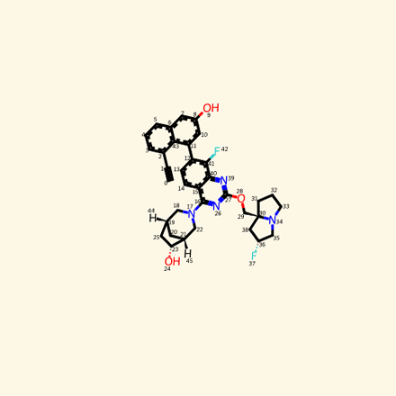 C#Cc1cccc2cc(O)cc(-c3ccc4c(N5C[C@@H]6C[C@H](C5)[C@H](O)C6)nc(OC[C@@]56CCCN5C[C@H](F)C6)nc4c3F)c12